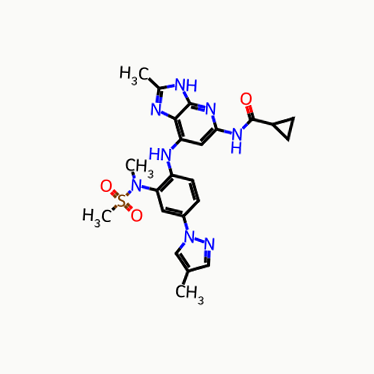 Cc1cnn(-c2ccc(Nc3cc(NC(=O)C4CC4)nc4[nH]c(C)nc34)c(N(C)S(C)(=O)=O)c2)c1